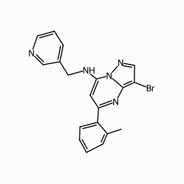 Cc1ccccc1-c1cc(NCc2cccnc2)n2ncc(Br)c2n1